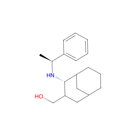 C[C@H](N[C@H]1C(CO)CC2CCCC1C2)c1ccccc1